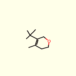 CC1=C(C(C)(C)C)COCC1